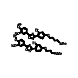 CCc1cc(OCCCCNC)ccc1-c1noc(-c2ccc(OC(C)C)c(C#N)c2)n1.CCc1cc(OCCCNC)ccc1-c1noc(-c2ccc(OC(C)C)c(C#N)c2)n1